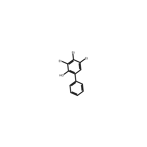 CCc1cc(-c2ccccc2)c(O)c(CC)c1CC